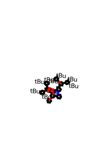 CC(C)(C)c1cc(-c2cc(-c3cc(C(C)(C)C)cc(C(C)(C)C)c3)cc(-c3ccc4c(c3)c3cc(-c5cc(-c6cc(C(C)(C)C)cc(C(C)(C)C)c6)cc(-c6cc(C(C)(C)C)cc(C(C)(C)C)c6)c5)ccc3n4-c3ccccc3-c3cc(-c4ccccc4)cc(-c4ccccc4)c3)c2)cc(C(C)(C)C)c1